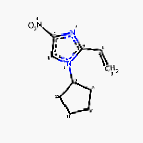 C=Cc1nc([N+](=O)[O-])cn1C1CCCC1